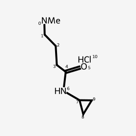 CNCCCC(=O)NC1CC1.Cl